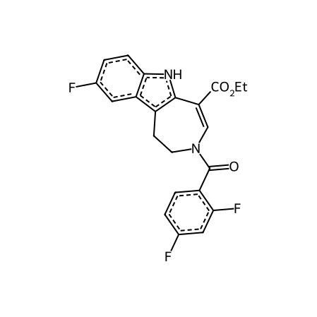 CCOC(=O)C1=CN(C(=O)c2ccc(F)cc2F)CCc2c1[nH]c1ccc(F)cc21